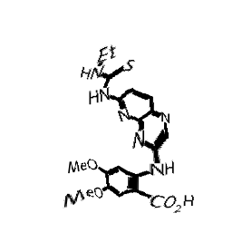 CCNC(=S)Nc1ccc2ncc(Nc3cc(OC)c(OC)cc3C(=O)O)nc2n1